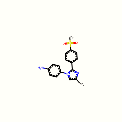 CS(=O)(=O)c1ccc(-c2nc(C(F)(F)F)cn2-c2ccc(N)cc2)cc1